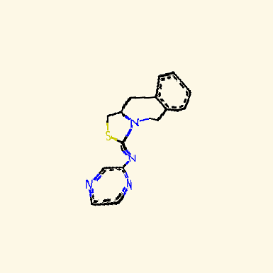 c1ccc2c(c1)CC1CSC(=Nc3cnccn3)N1C2